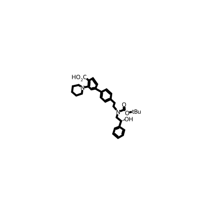 CC(C)(C)OC(=O)N(CCc1ccc(-c2ccc(C(=O)O)c(N3CCCCC3)c2)cc1)C[C@H](O)c1ccccc1